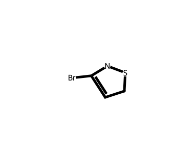 BrC1=CCS[N]1